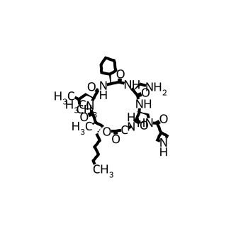 CCCCCC[C@H]1OC(=O)CNC(=O)[C@H](CNC(=O)C2CNC2)NC(=O)[C@H](CN)NC(=O)[C@H](C2CCCCC2)NC(=O)[C@H](CC(C)C)N(C)C(=O)[C@@H]1C